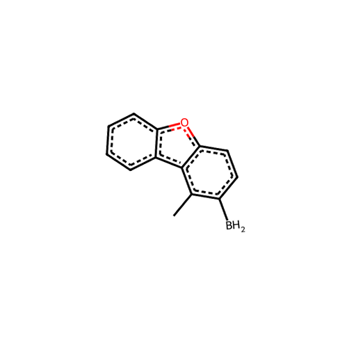 Bc1ccc2oc3ccccc3c2c1C